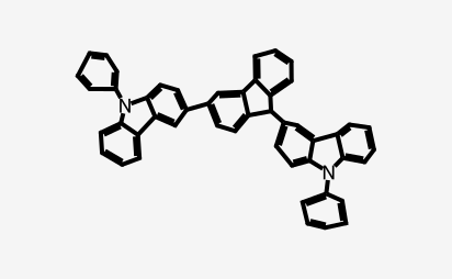 c1ccc(-n2c3ccccc3c3cc(-c4ccc5c(c4)-c4ccccc4C5c4ccc5c(c4)c4ccccc4n5-c4ccccc4)ccc32)cc1